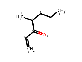 [CH2]CCC(C)C(=O)C=C